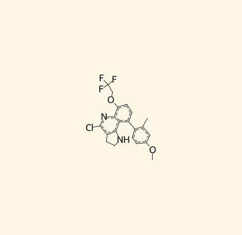 COc1ccc(-c2ccc(OCC(F)(F)F)c3nc(Cl)c4c(c23)NCC4)c(C)c1